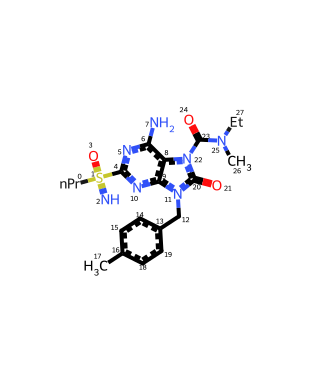 CCCS(=N)(=O)c1nc(N)c2c(n1)n(Cc1ccc(C)cc1)c(=O)n2C(=O)N(C)CC